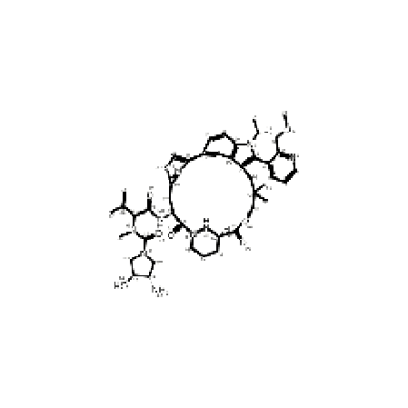 CCn1c(-c2cccnc2[C@H](C)OC)c2c3cc(ccc31)-c1csc(n1)C[C@H](NC(=O)C(C(C)C)N(C)C(=O)N1C[C@H](N)[C@@H](O)C1)C(=O)N1CCC[C@H](N1)C(=O)OCC(C)(C)C2